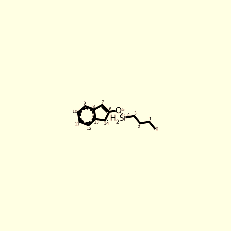 CCCC[SiH2]OC1=Cc2ccccc2[CH]1